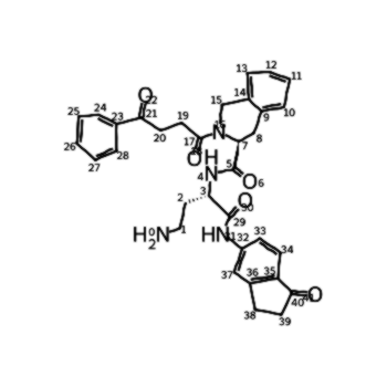 NCC[C@H](NC(=O)[C@@H]1Cc2ccccc2CN1C(=O)CCC(=O)c1ccccc1)C(=O)Nc1ccc2c(c1)CCC2=O